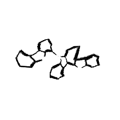 c1ccc2c(c1)sc1c(-n3c4ccccc4c4c5sc6ccccc6c5ccc43)cccc12